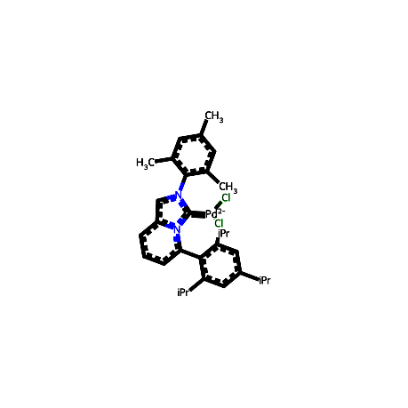 Cc1cc(C)c(-n2cc3cccc(-c4c(C(C)C)cc(C(C)C)cc4C(C)C)n3[c]2=[Pd-2]([Cl])[Cl])c(C)c1